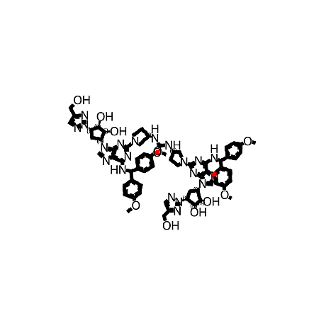 COc1ccc(C(Nc2nc(N3CC[C@@H](NC(=O)N[C@@H]4CCN(c5nc(NC(c6ccc(OC)cc6)c6ccc(OC)cc6)c6ncn([C@@H]7C[C@H](n8ncc(CO)n8)[C@@H](O)[C@H]7O)c6n5)C4)C3)nc3c2ncn3[C@@H]2C[C@H](n3ncc(CO)n3)[C@@H](O)[C@H]2O)c2ccc(OC)cc2)cc1